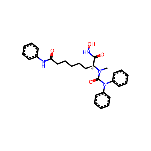 CN(C(=O)N(c1ccccc1)c1ccccc1)[C@@H](CCCCCC(=O)Nc1ccccc1)C(=O)NO